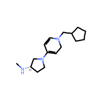 CN[C@H]1CCN(C2=CCN(CC3CCCC3)C=C2)C1